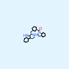 O=C(c1cccc(CC2NCCc3c2[nH]c2ccccc32)c1)N1CCc2ccccc21